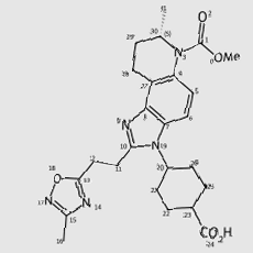 COC(=O)N1c2ccc3c(nc(CCc4nc(C)no4)n3C3CCC(C(=O)O)CC3)c2CC[C@@H]1C